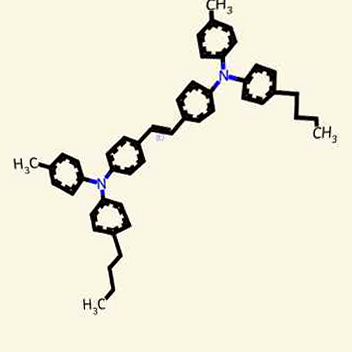 CCCCc1ccc(N(c2ccc(C)cc2)c2ccc(/C=C/c3ccc(N(c4ccc(C)cc4)c4ccc(CCCC)cc4)cc3)cc2)cc1